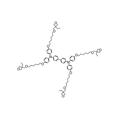 CCC1(COCCCCCCOc2ccc(N(c3ccc(OCCCCCCOCC4(CC)COC4)cc3)c3ccc(-c4ccc(N(c5ccc(OCCCCCCOCC6(CC)COC6)cc5)c5ccc(OCCCCCCOCC6(CC)COC6)cc5)cc4)cc3)cc2)COC1